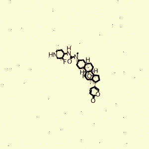 CN(C(=O)NC1CCNC[C@@H]1F)[C@H]1CC[C@@]2(C)[C@H](CC[C@@H]3[C@@H]2CC[C@]2(C)[C@@H](c4ccc(=O)oc4)CC[C@]32O)C1